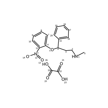 CNCCC(Oc1ccccc1[N+](=O)[O-])c1ccccc1.O=C(O)C(=O)O